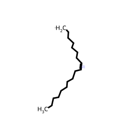 [CH2]CCCCCC/C=C\CCCCCCCCC